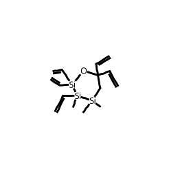 C=CC1(C=C)C[Si](C)(C)[Si](C)(C=C)[Si](C=C)(C=C)O1